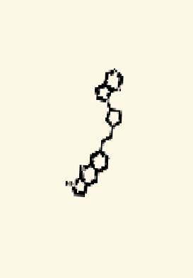 c1ncc2ccn(C3CCC(CCc4ccc5cc6cc[nH]c6nc5c4)C3)c2n1